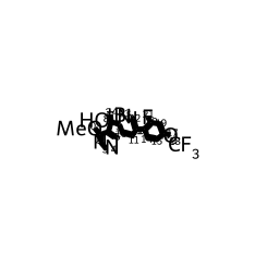 COc1ncncc1C(O)(c1ccc(-c2ccc(OC(F)(F)F)cc2F)cn1)C(C)(C)C